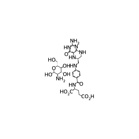 N[C@H]1C(O)O[C@H](CO)[C@@H](O)[C@@H]1O.Nc1nc2c(c(=O)[nH]1)N[C@H](CNc1ccc(C(=O)N[C@@H](CCC(=O)O)C(=O)O)cc1)CN2